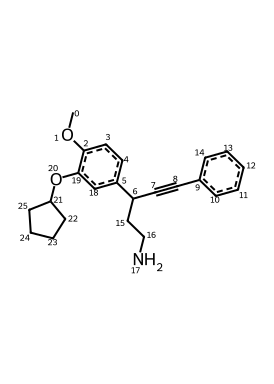 COc1ccc(C(C#Cc2ccccc2)CCN)cc1OC1CCCC1